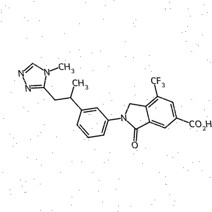 CC(Cc1nncn1C)c1cccc(N2Cc3c(cc(C(=O)O)cc3C(F)(F)F)C2=O)c1